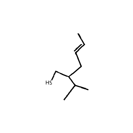 CC=CCC(CS)C(C)C